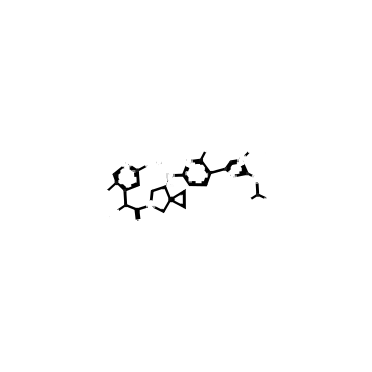 COc1cc(C(C)C(=O)N2C[C@@H](Nc3ccc(-c4cn(C)c(OC(F)F)n4)c(C)n3)C3(CC3)C2)c(F)cn1